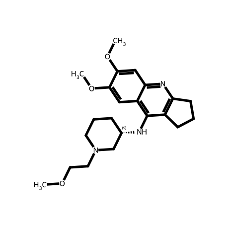 COCCN1CCC[C@H](Nc2c3c(nc4cc(OC)c(OC)cc24)CCC3)C1